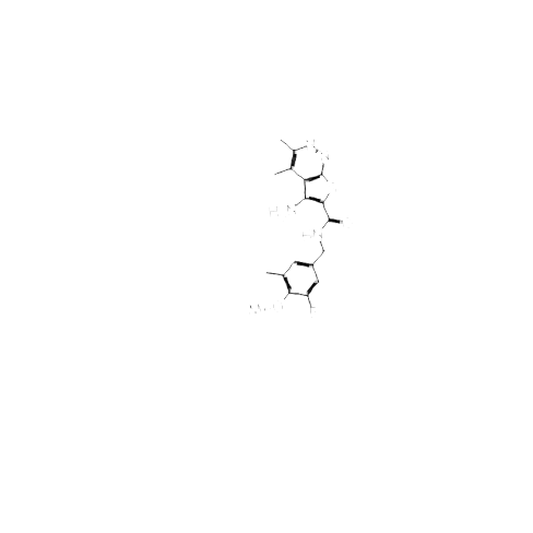 COc1c(C)cc(CNC(=O)c2sc3nnc(C)c(C)c3c2N)cc1F